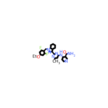 CCOc1cc(F)c(Cn2nc(-c3nc(C)cc(Nc4ccncc4C(N)=O)n3)c3ccccc32)c(F)c1